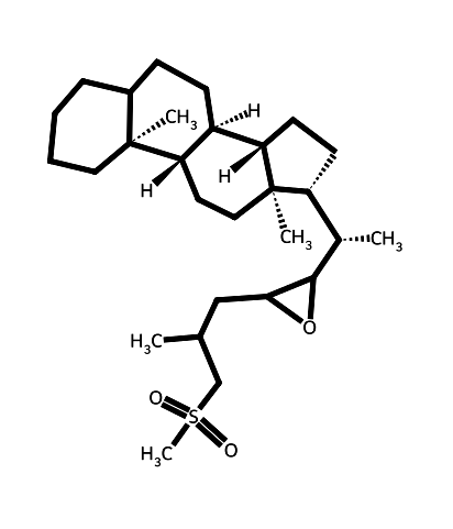 CC(CC1OC1[C@@H](C)[C@H]1CC[C@H]2[C@@H]3CCC4CCCC[C@]4(C)[C@H]3CC[C@]12C)CS(C)(=O)=O